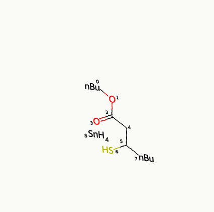 CCCCOC(=O)CC(S)CCCC.[SnH4]